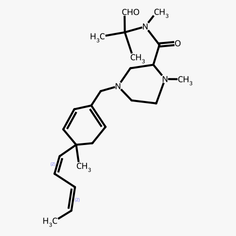 C/C=C\C=C/C1(C)C=CC(CN2CCN(C)C(C(=O)N(C)C(C)(C)C=O)C2)=CC1